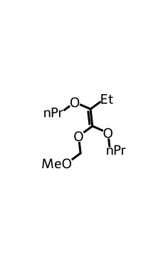 CCCOC(CC)=C(OCCC)OCOC